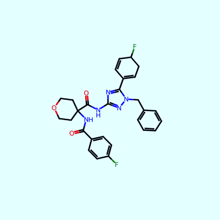 O=C(NC1(C(=O)Nc2nc(C3=CCC(F)C=C3)n(Cc3ccccc3)n2)CCOCC1)c1ccc(F)cc1